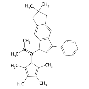 CC1=C(C)[CH]([Zr]([CH]2C=C(c3ccccc3)c3cc4c(cc32)CC(C)(C)C4)=[Si](C)C)C(C)=C1C